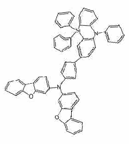 c1ccc(N2c3ccccc3[Si](c3ccccc3)(c3ccccc3)c3cc(-c4ccc(N(c5ccc6c(c5)oc5ccccc56)c5ccc6c(c5)oc5ccccc56)cc4)ccc32)cc1